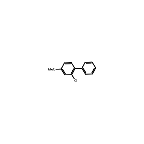 COc1ccc(-c2ccccc2)c(Cl)c1